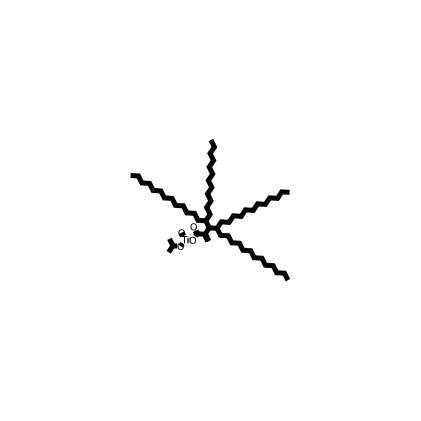 C=C(C(=O)[O][Ti](=[O])[O]C(C)C)C(C(CCCCCCCCCCCC)CCCCCCCCCCCCC)C(CCCCCCCCCCCC)CCCCCCCCCCCCC